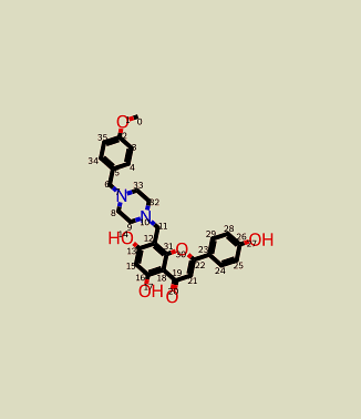 COc1ccc(CN2CCN(Cc3c(O)cc(O)c4c(=O)cc(-c5ccc(O)cc5)oc34)CC2)cc1